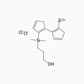 C[Si](C)(CCCO)C1=C(C2=[C]([Zr+2])CC=C2)CC=C1.[Cl-].[Cl-]